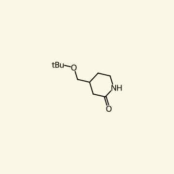 CC(C)(C)OCC1CCNC(=O)C1